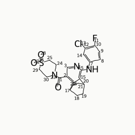 O=C(c1cnc(Nc2ccc(F)c(Cl)c2)c2c1C1CCC2CC1)N1CCS(=O)(=O)CC1